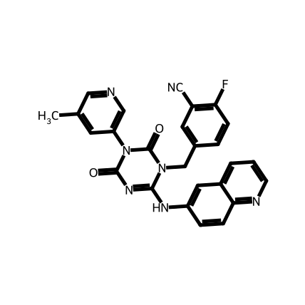 Cc1cncc(-n2c(=O)nc(Nc3ccc4ncccc4c3)n(Cc3ccc(F)c(C#N)c3)c2=O)c1